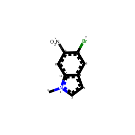 Cn1ccc2cc(Br)c([N+](=O)[O-])cc21